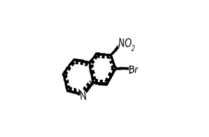 O=[N+]([O-])c1cc2cccnc2cc1Br